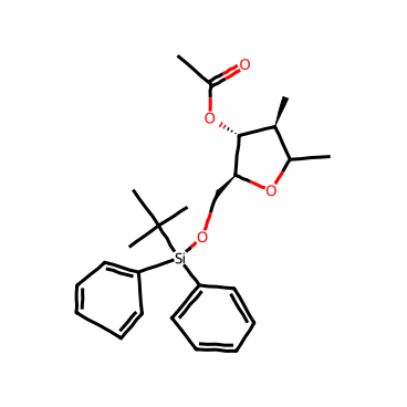 CC(=O)O[C@H]1[C@H](CO[Si](c2ccccc2)(c2ccccc2)C(C)(C)C)OC(C)[C@@H]1C